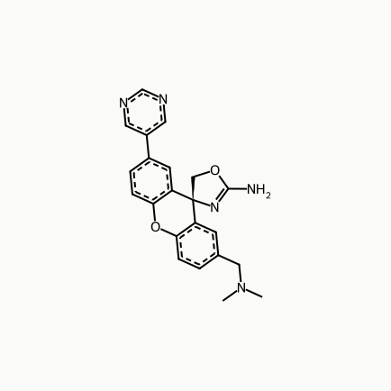 CN(C)Cc1ccc2c(c1)[C@]1(COC(N)=N1)c1cc(-c3cncnc3)ccc1O2